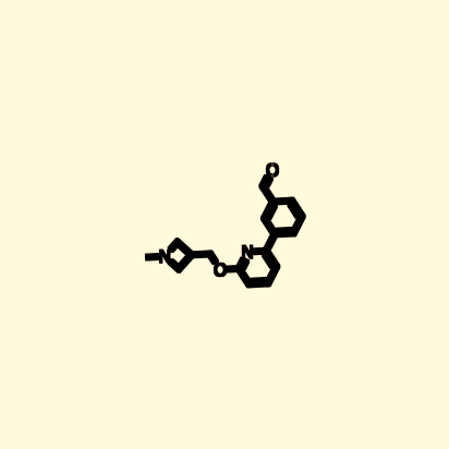 CN1CC(COc2cccc(-c3cccc(C=O)c3)n2)C1